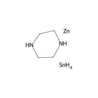 C1CNCCN1.[SnH4].[Zn]